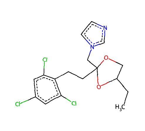 CCC1COC(CCc2c(Cl)cc(Cl)cc2Cl)(Cn2ccnc2)O1